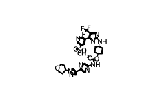 CS(=O)(=O)c1cncc(-c2nc(N[C@H]3CC[C@H](OC(=O)Nc4cnc(-c5cnn(C6CCOCC6)c5)cn4)CC3)ncc2C(F)(F)F)c1